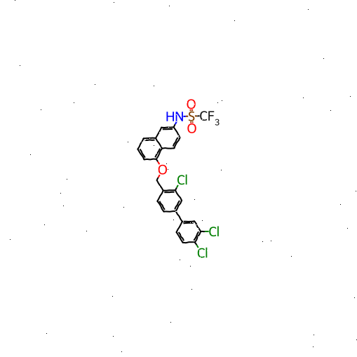 O=S(=O)(Nc1ccc2c(OCc3ccc(-c4ccc(Cl)c(Cl)c4)cc3Cl)cccc2c1)C(F)(F)F